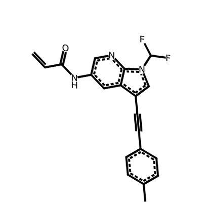 C=CC(=O)Nc1cnc2c(c1)c(C#Cc1ccc(C)cc1)cn2C(F)F